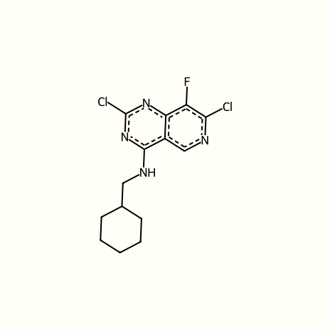 Fc1c(Cl)ncc2c(NCC3CCCCC3)nc(Cl)nc12